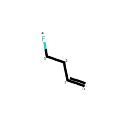 [CH]=CCCF